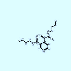 CCCCOC(=O)C(=O)c1ccccc1C(=O)OCCCC